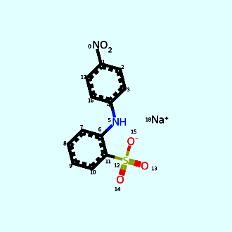 O=[N+]([O-])c1ccc(Nc2ccccc2S(=O)(=O)[O-])cc1.[Na+]